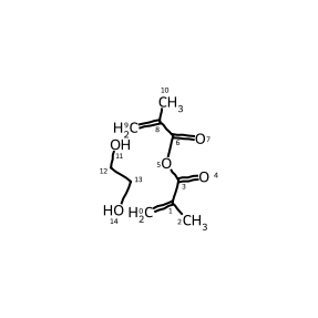 C=C(C)C(=O)OC(=O)C(=C)C.OCCO